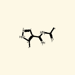 CC(=O)NC(=N)c1cn[nH]c1C